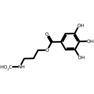 O=C(O)NCCCOC(=O)c1cc(O)c(O)c(O)c1